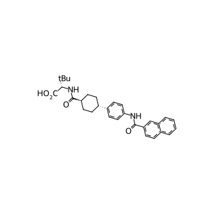 CC(C)(C)[C@H](NC(=O)[C@H]1CC[C@H](c2ccc(NC(=O)c3ccc4ccccc4c3)cc2)CC1)C(=O)O